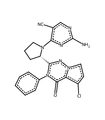 N#Cc1cnc(N)nc1N1CCC[C@H]1c1nn2ccc(Cl)c2c(=O)n1-c1ccccc1